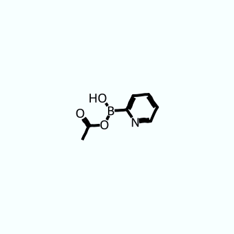 CC(=O)OB(O)c1ccccn1